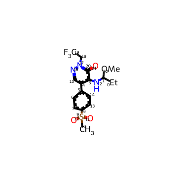 CCC(Nc1c(-c2ccc(S(C)(=O)=O)cc2)cnn(CC(F)(F)F)c1=O)OC